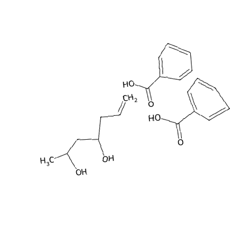 C=CCC(O)CC(C)O.O=C(O)c1ccccc1.O=C(O)c1ccccc1